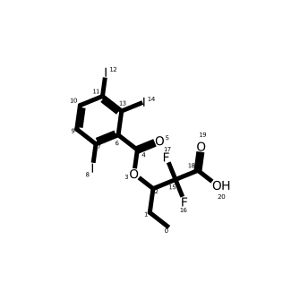 CCC(OC(=O)c1c(I)ccc(I)c1I)C(F)(F)C(=O)O